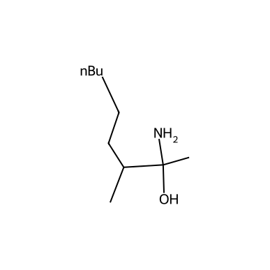 CCCCCCC(C)C(C)(N)O